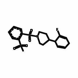 CS(=O)(=O)c1ccccc1S(=O)(=O)N1CCC(C2C=CCC=C2F)CC1